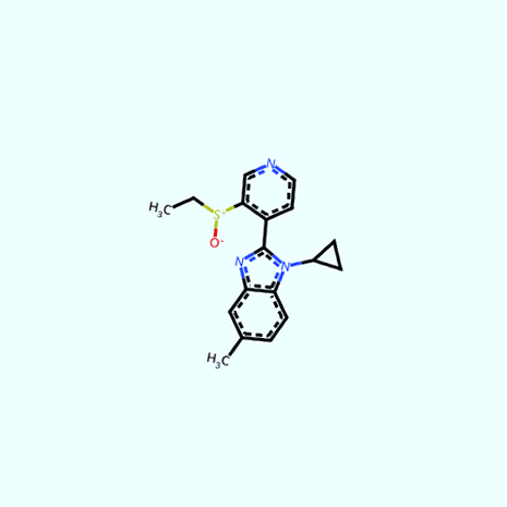 CC[S+]([O-])c1cnccc1-c1nc2cc(C)ccc2n1C1CC1